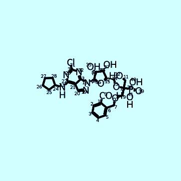 O=C(O)c1ccccc1COCC(CO)(OC[C@H]1O[C@@H](n2ncc3c(NC4CCCC4)nc(Cl)nc32)[C@H](O)[C@@H]1O)P(=O)(O)O